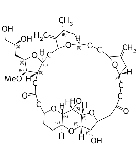 C=C1C[C@@H]2CCC(=O)CC3O[C@H]4[C@@H](O)[C@H]5OC(CC[C@@H]5O[C@H]4[C@H]3O)CC(=O)C[C@@H]3[C@@H](OC)[C@@H](C[C@H](O)CO)O[C@H]3CC3O[C@@H](CCC1O2)C[C@@H](C)C3=C